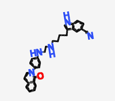 N#Cc1ccc2[nH]cc(CCCCNCCNc3ccc(-n4ccc5ccccc5c4=O)cc3)c2c1